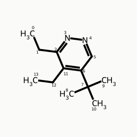 CCc1nncc(C(C)(C)C)c1CC